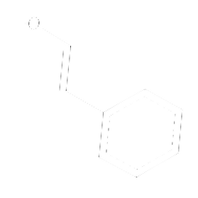 [O]C=Cc1ccccc1